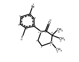 CN1CCN(c2cc(Br)ccc2F)C(=O)C1(C)C